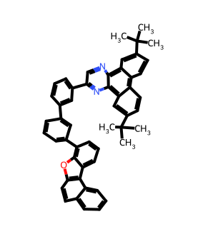 CC(C)(C)c1ccc2c3ccc(C(C)(C)C)cc3c3nc(-c4cccc(-c5cccc(-c6cccc7c6oc6ccc8ccccc8c67)c5)c4)cnc3c2c1